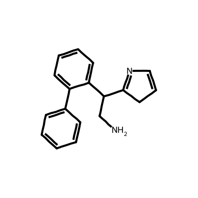 NCC(C1=NC=CC1)c1ccccc1-c1ccccc1